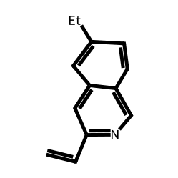 C=Cc1cc2cc(CC)ccc2cn1